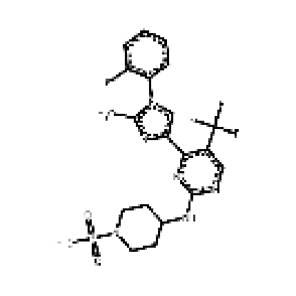 Cc1nc(-c2nc(NC3CCN(S(C)(=O)=O)CC3)ncc2C(F)(F)F)cn1-c1ccccc1F